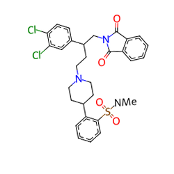 CNS(=O)(=O)c1ccccc1C1CCN(CCC(CN2C(=O)c3ccccc3C2=O)c2ccc(Cl)c(Cl)c2)CC1